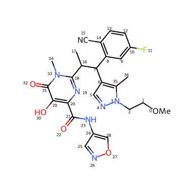 COCCn1ncc(C(c2cc(F)ccc2C#N)C(C)c2nc(C(=O)Nc3cnoc3)c(O)c(=O)n2C)c1C